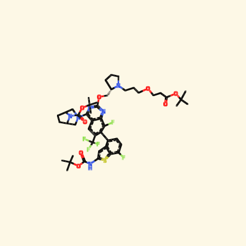 CC(C)(C)OC(=O)CCOCCCN1CCC[C@H]1COc1nc(N2CC3CCC(C2)N3C(=O)OC(C)(C)C)c2cc(C(F)(F)F)c(-c3ccc(F)c4sc(NC(=O)OC(C)(C)C)cc34)c(F)c2n1